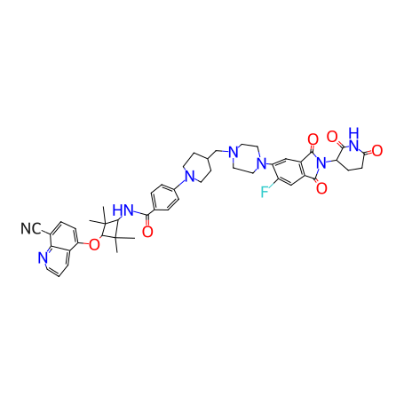 CC1(C)C(NC(=O)c2ccc(N3CCC(CN4CCN(c5cc6c(cc5F)C(=O)N(C5CCC(=O)NC5=O)C6=O)CC4)CC3)cc2)C(C)(C)C1Oc1ccc(C#N)c2ncccc12